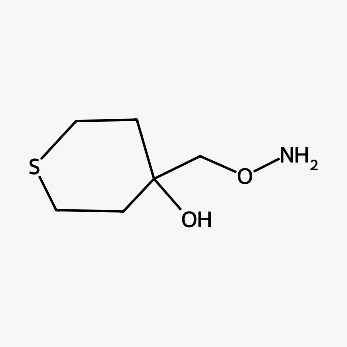 NOCC1(O)CCSCC1